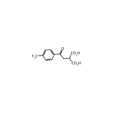 O=C(CC(C(=O)O)C(=O)O)c1ccc(C(F)(F)F)cc1